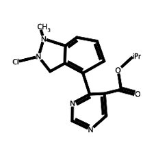 CC(C)OC(=O)c1cncnc1-c1cccc2c1CN(Cl)N2C